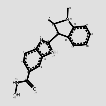 CC1C(c2nc3ccc(C(=O)NO)cc3[nH]2)c2ccccc2N1C